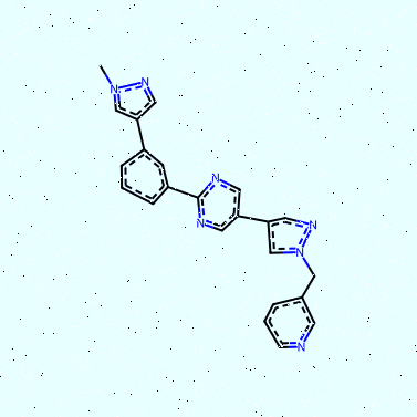 Cn1cc(-c2cccc(-c3ncc(-c4cnn(Cc5cccnc5)c4)cn3)c2)cn1